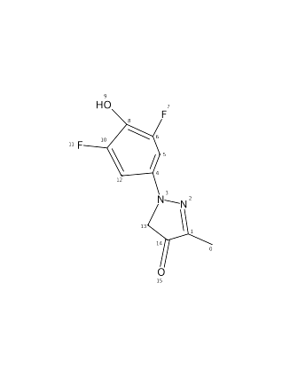 CC1=NN(c2cc(F)c(O)c(F)c2)CC1=O